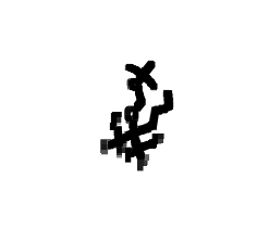 CCCCC(OCOC(C)(C)C)(C(F)(F)F)C(F)(F)F